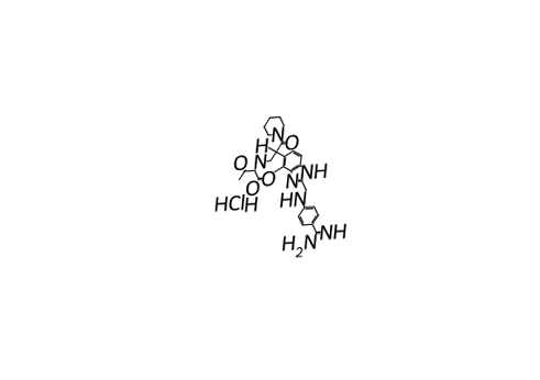 CC(=O)C(NCC(C)(C(=O)N1CCCCC1)c1ccc2[nH]c(CNc3ccc(C(=N)N)cc3)nc2c1C)C(=O)O.Cl